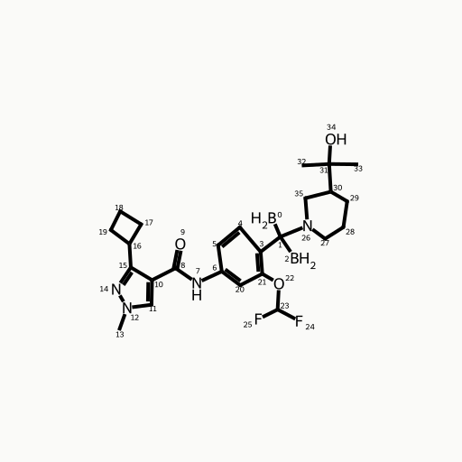 BC(B)(c1ccc(NC(=O)c2cn(C)nc2C2CCC2)cc1OC(F)F)N1CCCC(C(C)(C)O)C1